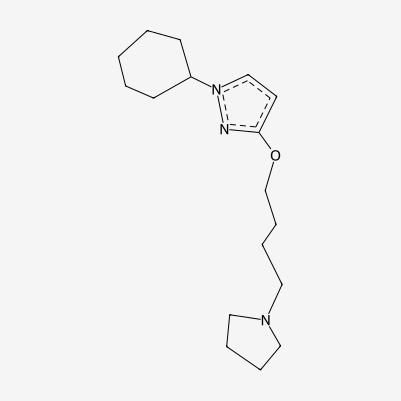 c1cn(C2CCCCC2)nc1OCCCCN1CCCC1